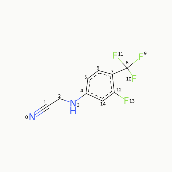 N#CCNc1ccc(C(F)(F)F)c(F)c1